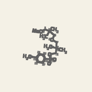 COCC(C)(C)COCC(C)(C)COS(=O)(=O)c1ccc(C)cc1